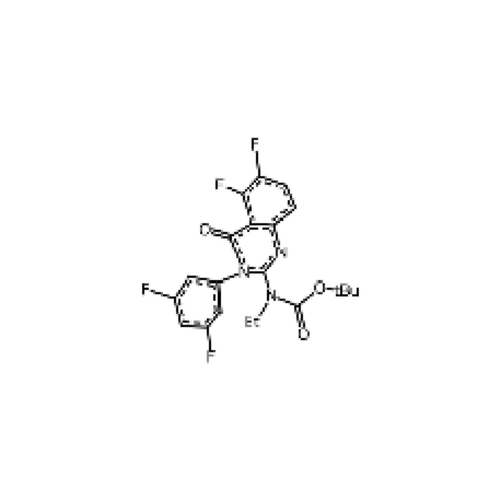 CCN(C(=O)OC(C)(C)C)c1nc2ccc(F)c(F)c2c(=O)n1-c1cc(F)cc(F)c1